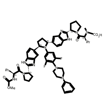 COC(=O)N[C@H](C(=O)N1CCC[C@H]1c1nc2cc([C@H]3CC[C@H](c4ccc5[nH]c([C@@H]6CCCN6C(=O)[C@H](C(C)C)N(C)C(=O)O)nc5c4)N3c3cc(F)c(N4CCN(c5ccccc5)CC4)c(F)c3)ccc2[nH]1)C(C)C